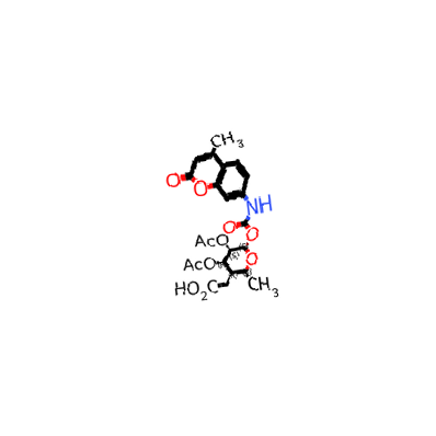 CC(=O)O[C@@H]1[C@H](OC(=O)Nc2ccc3c(C)cc(=O)oc3c2)O[C@@H](C)[C@@H](CC(=O)O)[C@H]1OC(C)=O